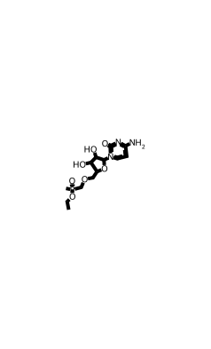 CCOP(C)(=O)COCC1OC(n2ccc(N)nc2=O)C(O)C1O